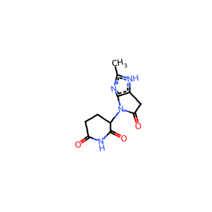 Cc1nc2c([nH]1)CC(=O)N2C1CCC(=O)NC1=O